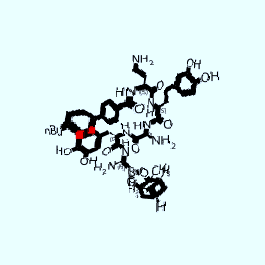 CCCCc1ccc(-c2ccc(C(=O)N[C@@H](CCN)C(=O)N[C@@H](CCc3ccc(O)c(O)c3)C(=O)N[C@@H](N)C(=O)N[C@@H](Cc3ccc(O)c(O)c3)C(=O)N[C@@H](N)B3OC4C[C@@H]5C[C@@H](C5(C)C)[C@]4(C)O3)cc2)cc1